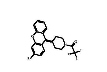 O=C(N1CCC(=C2c3ccccc3Oc3cc(Br)ccc32)CC1)C(F)(F)F